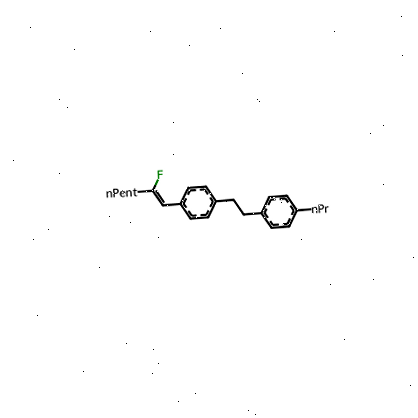 CCCCCC(F)=Cc1ccc(CCc2ccc(CCC)cc2)cc1